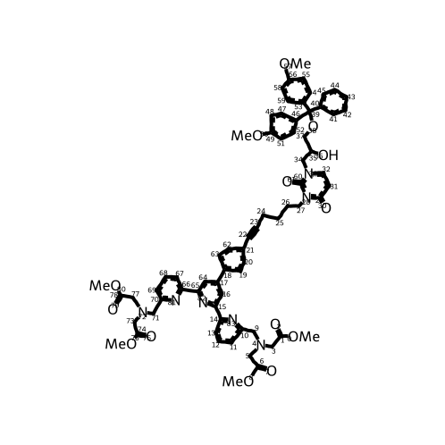 COC(=O)CN(CC(=O)OC)Cc1cccc(-c2cc(-c3ccc(C#CCCCCn4c(=O)ccn(CC(O)COC(c5ccccc5)(c5ccc(OC)cc5)c5ccc(OC)cc5)c4=O)cc3)cc(-c3cccc(CN(CC(=O)OC)CC(=O)OC)n3)n2)n1